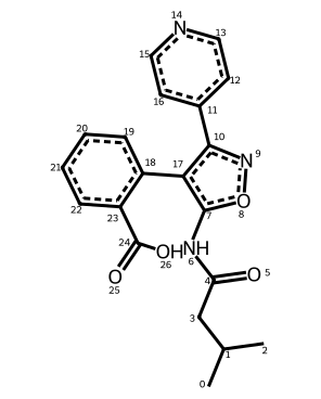 CC(C)CC(=O)Nc1onc(-c2ccncc2)c1-c1ccccc1C(=O)O